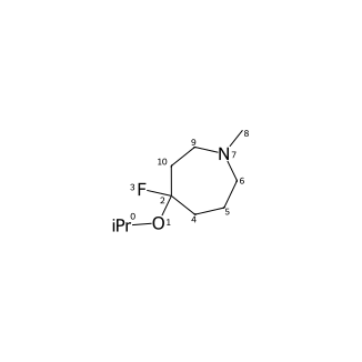 CC(C)OC1(F)CCCN(C)CC1